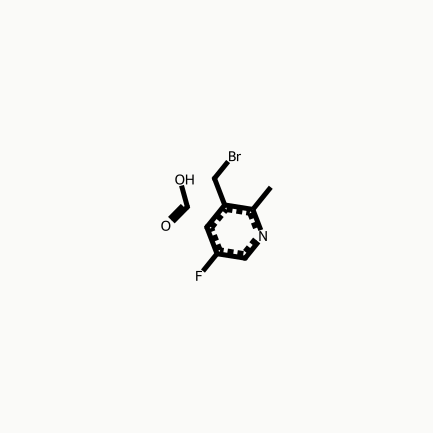 Cc1ncc(F)cc1CBr.O=CO